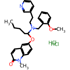 CCCCC(Oc1ccc2c(ccc(=O)n2C)c1)N(CCc1cccnc1)Cc1ccccc1OC.Cl.Cl